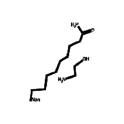 CCCCCCCCCCCCCCCCCC(=O)P.NCCO